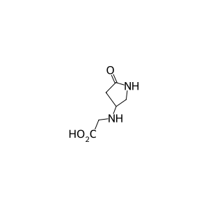 O=C(O)CNC1CNC(=O)C1